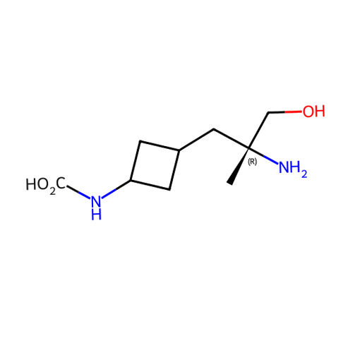 C[C@](N)(CO)CC1CC(NC(=O)O)C1